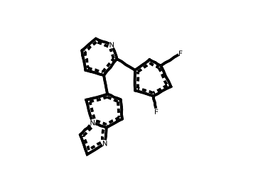 Fc1cc(F)cc(-c2ncccc2-c2ccc3nccn3c2)c1